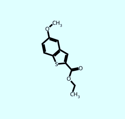 CCOC(=O)c1cc2cc(OC)ccc2s1